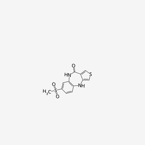 CS(=O)(=O)c1ccc2c(c1)NC(=O)c1cscc1N2